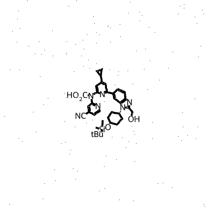 CC(C)(C)[Si](C)(C)O[C@H]1CC[C@H](n2c(CO)nc3ccc(-c4cc(C5CC5)cc(N(C(=O)O)c5cc(C#N)ccn5)n4)cc32)CC1